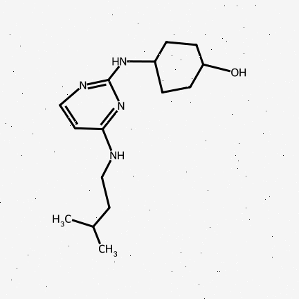 CC(C)CCNc1ccnc(NC2CCC(O)CC2)n1